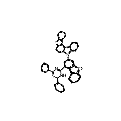 c1ccc(C2=NC(c3ccccc3)NC(c3cc(-n4c5ccccc5c5c6c(ccc54)sc4ccccc46)cc4oc5ccccc5c34)=N2)cc1